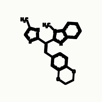 Cc1csc(/C(=C/c2ccc3c(c2)OCCO3)c2nc3ccccc3n2C)n1